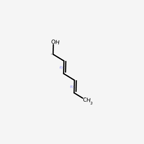 C/C=C/C=C/[CH]O